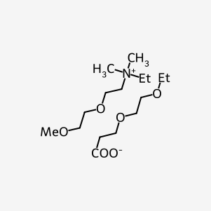 CCOCCOCCC(=O)[O-].CC[N+](C)(C)CCOCCOC